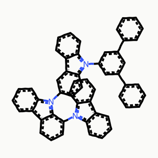 c1ccc(-c2cc(-c3ccccc3)cc(-n3c4ccccc4c4cc(-n5c6ccccc6c6cccc(-n7c8ccccc8c8ccccc87)c65)ccc43)c2)cc1